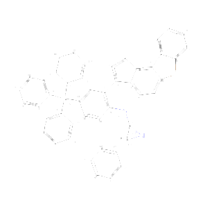 C1=Cc2c(ccc3sc4ccccc4c23)C=1c1cc([Si](c2ccccc2)(c2ccccc2)C2C=CCCC2)ccc1NC1N[C@@H]1c1ccccc1